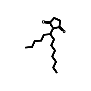 CCCCCCCC(CCCCC)N1C(=O)CCC1=O